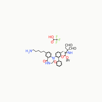 CC(C)OC(=O)[C@]1(Cc2ccc(N3C(=O)CNC(=O)c4cc(CCCCCN)ccc43)c(-c3ccccc3)c2)NC1(C=O)CC=O.O=C(O)C(F)(F)F